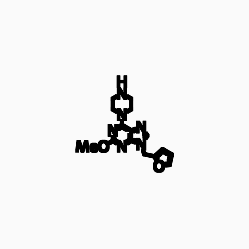 COc1nc(N2CCNCC2)c2ncn(Cc3ccco3)c2n1